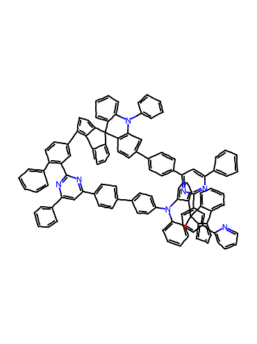 c1ccc(-c2cc(-c3ccc(-c4ccc5c(c4)N(c4ccccc4)c4ccccc4C54c5ccccc5-c5c(-c6ccc(-c7ccccc7)c(-c7nc(-c8ccccc8)cc(-c8ccc(-c9ccc(N%10c%11ccccc%11C%11(c%12ccccc%12-c%12ccccc%12%11)c%11ccccc%11%10)cc9)cc8)n7)c6)cccc54)cc3)nc(-c3cccc(-c4ccccn4)c3)n2)cc1